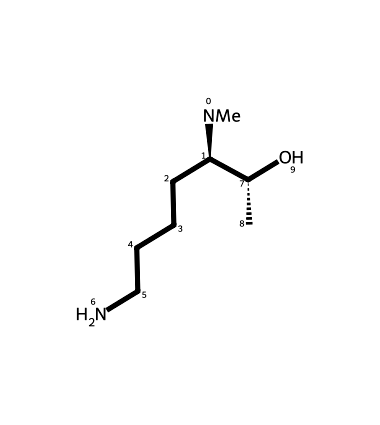 CN[C@H](CCCCN)[C@@H](C)O